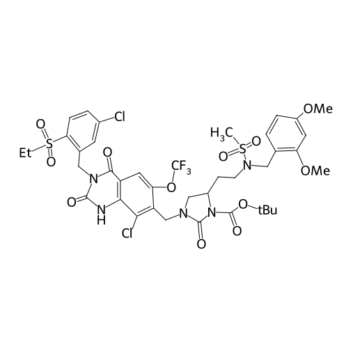 CCS(=O)(=O)c1ccc(Cl)cc1Cn1c(=O)[nH]c2c(Cl)c(CN3CC(CCN(Cc4ccc(OC)cc4OC)S(C)(=O)=O)N(C(=O)OC(C)(C)C)C3=O)c(OC(F)(F)F)cc2c1=O